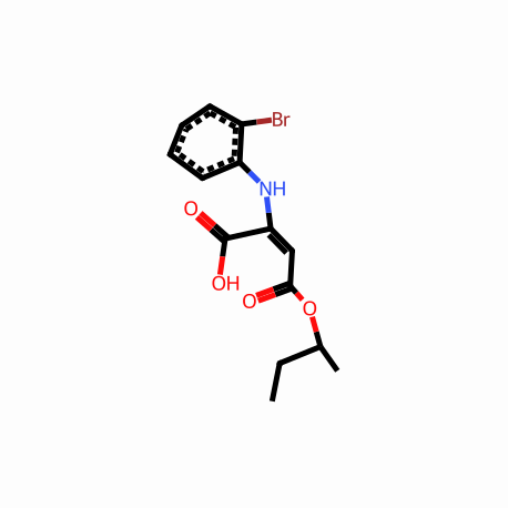 CCC(C)OC(=O)C=C(Nc1ccccc1Br)C(=O)O